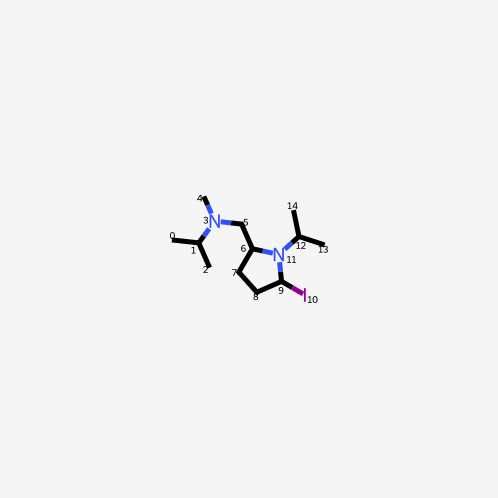 CC(C)N(C)CC1CCC(I)N1C(C)C